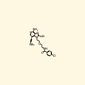 CCCCC#Cc1cnc(N)c2nc(CCC)n(CCOCCNC(=O)c3ccc(Cl)cc3)c12